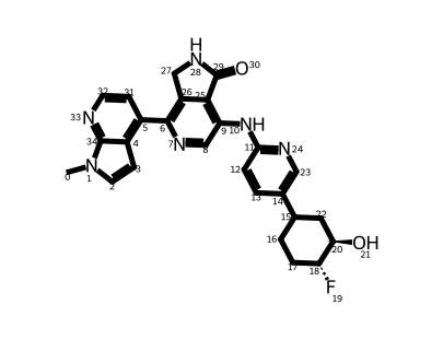 Cn1ccc2c(-c3ncc(Nc4ccc(C5CC[C@@H](F)[C@H](O)C5)cn4)c4c3CNC4=O)ccnc21